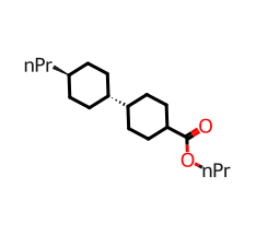 CCCOC(=O)C1CCC([C@H]2CC[C@H](CCC)CC2)CC1